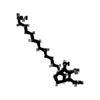 CC(=O)NC1C2OC[C@](COCCOCCOCCOCC(=O)O)(O2)C(O)C1O